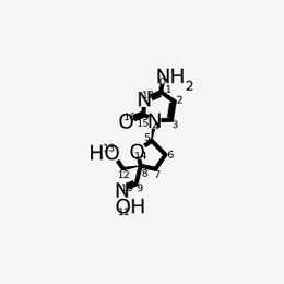 Nc1ccn([C@H]2CC[C@@](C=NO)(CO)O2)c(=O)n1